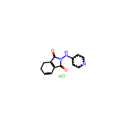 Cl.O=C1C2=C(CCC=C2)C(=O)N1Nc1ccncc1